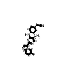 N#CC[C@H]1CC[C@H](Nc2nc(-c3cnc4ccc(F)cn34)ncc2N)CC1